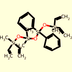 C=C[Si](C)(C=C)O[Si](C)(C)O[Si](O[Si](C)(C=C)C=C)(c1ccccc1)c1ccccc1